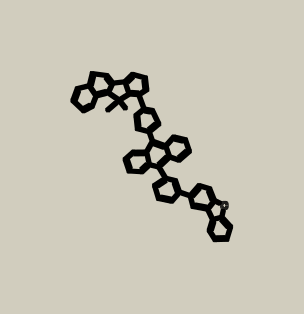 CC1(C)c2c(-c3ccc(-c4c5ccccc5c(-c5cccc(-c6ccc7oc8ccccc8c7c6)c5)c5ccccc45)cc3)cccc2-c2ccc3ccccc3c21